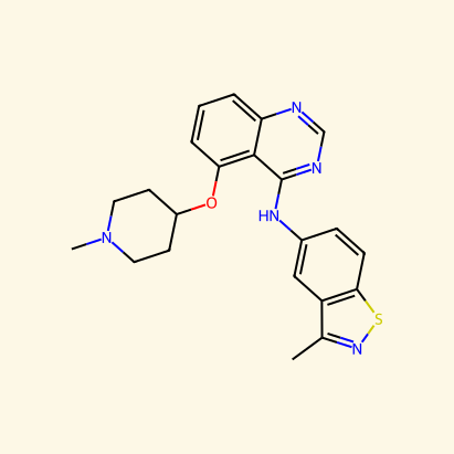 Cc1nsc2ccc(Nc3ncnc4cccc(OC5CCN(C)CC5)c34)cc12